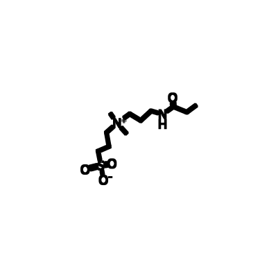 CCC(=O)NCCC[N+](C)(C)CCCS(=O)(=O)[O-]